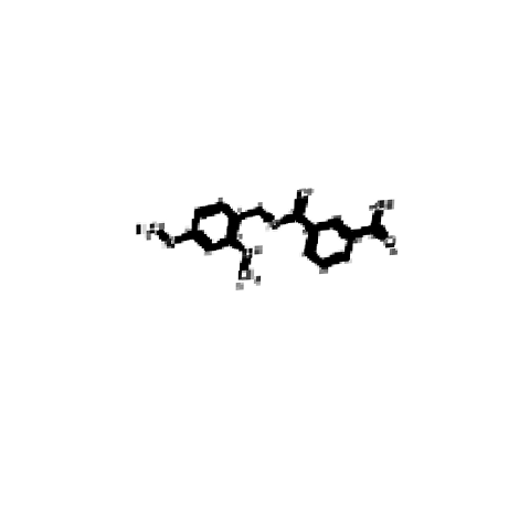 COc1ccc(COC(=O)c2cccc(C(=O)S)c2)c(OC)c1